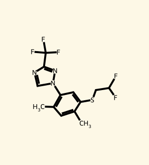 Cc1cc(C)c(-n2cnc(C(F)(F)F)n2)cc1SCC(F)F